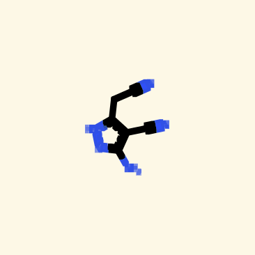 N#CCc1[nH]nc(N)c1C#N